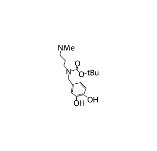 CNCCCN(Cc1ccc(O)c(O)c1)C(=O)OC(C)(C)C